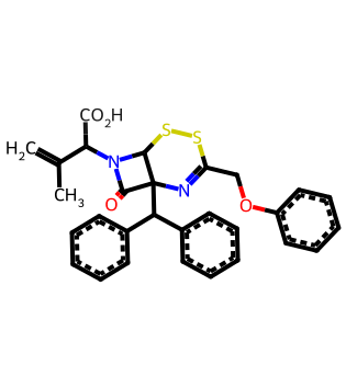 C=C(C)C(C(=O)O)N1C(=O)C2(C(c3ccccc3)c3ccccc3)N=C(COc3ccccc3)SSC12